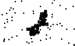 O=C1CC[C@@H](N2Cc3c(Cl)cc(CNC(=O)OC4CC(O)(c5cccnc5OC(F)(F)F)C4)c(F)c3C2=O)C(=O)N1